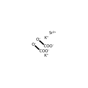 O=C([O-])[O-].O=C([O-])[O-].[K+].[K+].[Sr+2]